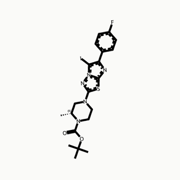 C[C@@H]1CN(c2nn3c(I)c(-c4ccc(F)cc4)nc3s2)CCN1C(=O)OC(C)(C)C